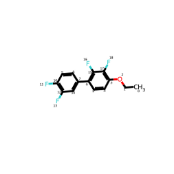 CCOc1ccc(-c2ccc(F)c(F)c2)c(F)c1F